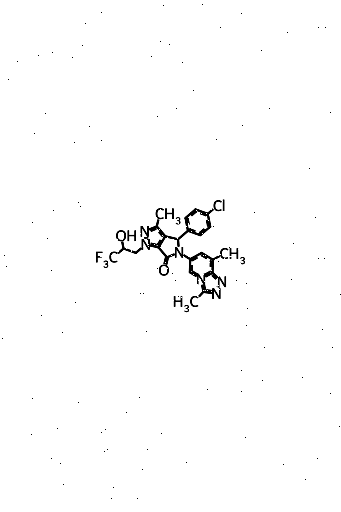 Cc1nn(CC(O)C(F)(F)F)c2c1C(c1ccc(Cl)cc1)N(c1cc(C)c3nnc(C)n3c1)C2=O